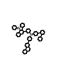 c1ccc(-c2ccccc2-c2ccc(N(c3ccc(-c4ccc5c(ccc6ccccc65)c4)cc3)c3cccc(-c4cc5ccccc5c5c4c4ccccc4n5-c4ccccc4)c3)cc2)cc1